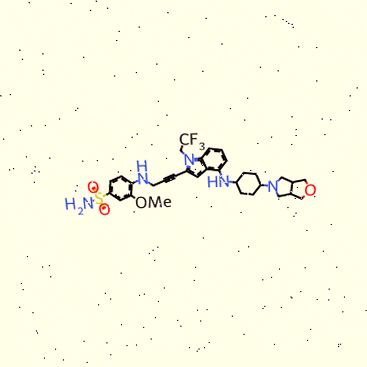 COc1cc(S(N)(=O)=O)ccc1NCC#Cc1cc2c(NC3CCC(N4CC5COCC5C4)CC3)cccc2n1CC(F)(F)F